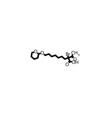 CC(=O)C(Br)(CCCCCCCOC1CCCCO1)C(=O)O